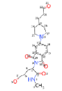 CNC(=O)C(CCC=O)N1C(=O)c2ccc(N3CCC(CCC=O)CC3)cc2C1=O